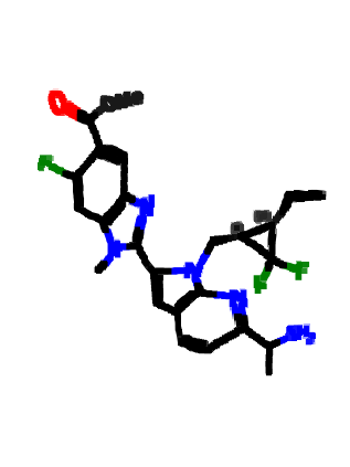 C=C[C@@H]1[C@H](Cn2c(-c3nc4cc(C(=O)OC)c(F)cc4n3C)cc3ccc(C(C)N)nc32)C1(F)F